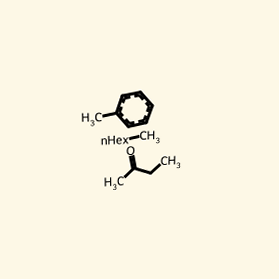 CCC(C)=O.CCCCCCC.Cc1ccccc1